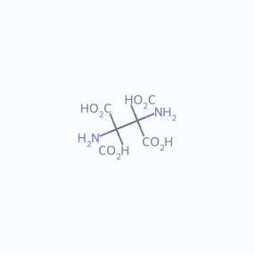 NC(C(=O)O)(C(=O)O)C(N)(C(=O)O)C(=O)O